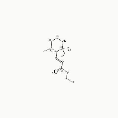 CCCC(=O)C=CC1C(C)CCCC1(C)C